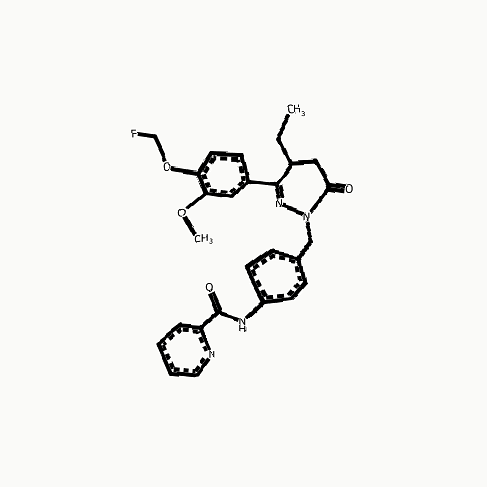 CCC1CC(=O)N(Cc2ccc(NC(=O)c3ccccn3)cc2)N=C1c1ccc(OCF)c(OC)c1